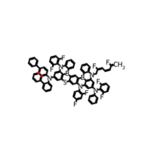 C=C(F)/C=C\C=C(\F)CN1c2ccccc2B2c3cc4c(cc3N(c3ccc(F)cc3F)c3cc(N(c5ccccc5)c5c(F)cccc5F)cc1c32)Sc1cc(N(c2ccc(-c3ccccc3)cc2)c2ccccc2-c2ccccc2)cc2c1B4c1ccccc1N2c1c(F)cccc1F